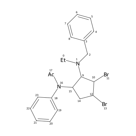 CCN(Cc1ccccc1)C1C(Br)C(Br)CC1N(C(C)=O)c1ccccc1